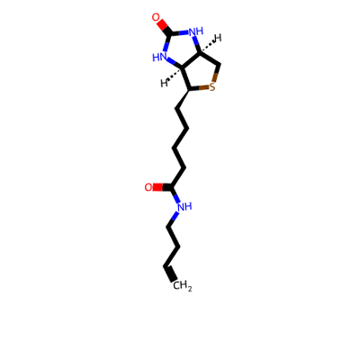 C=CCCNC(=O)CCCC[C@@H]1SC[C@@H]2NC(=O)N[C@@H]21